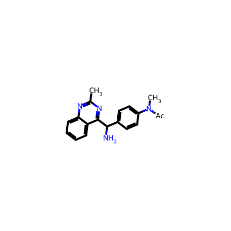 CC(=O)N(C)c1ccc(C(N)c2nc(C)nc3ccccc23)cc1